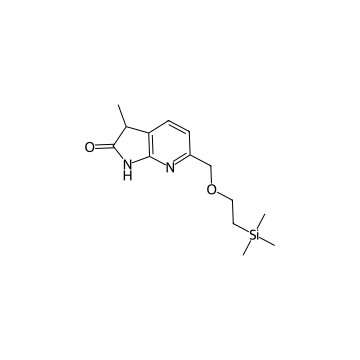 CC1C(=O)Nc2nc(COCC[Si](C)(C)C)ccc21